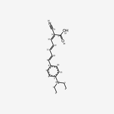 CCN(CC)c1ccc(C=CC=CC=C(C#N)C(=O)O)cc1